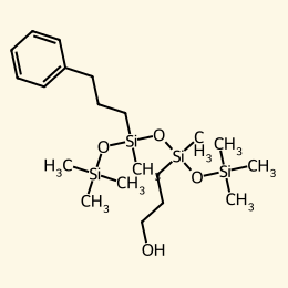 C[Si](C)(C)O[Si](C)(CCCO)O[Si](C)(CCCc1ccccc1)O[Si](C)(C)C